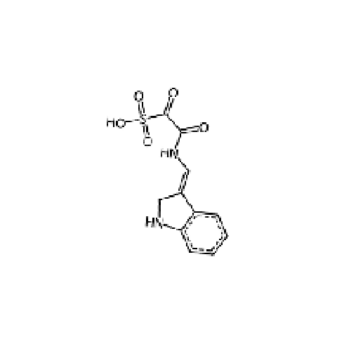 O=C(NC=C1CNc2ccccc21)C(=O)S(=O)(=O)O